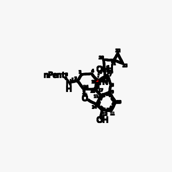 CCCCCNC1CC[C@@]2(O)[C@H]3Cc4ccc(O)c5c4[C@@]2(CCN3CC2CC2)C1O5